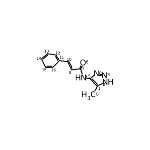 Cc1[nH]nnc1NC(=O)C=Cc1ccccc1